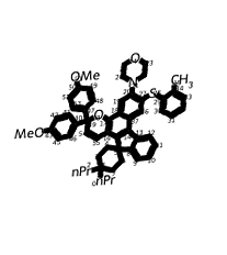 CCCC1(CCC)CCC2(CC1)c1ccccc1-c1c2c2c(c3cc(N4CCOCC4)c(Sc4ccccc4C)cc13)OC(c1ccc(OC)cc1)(c1ccc(OC)cc1)C=C2